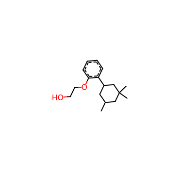 CC1CC(c2ccccc2OCCO)CC(C)(C)C1